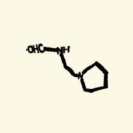 O=[C]NCN1CCCC1